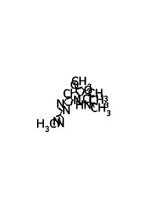 COc1cc(OC)c(Cl)c(N(CCNC(C)C)c2ccc3ncc(-c4cnn(C)c4)nc3c2)c1Cl